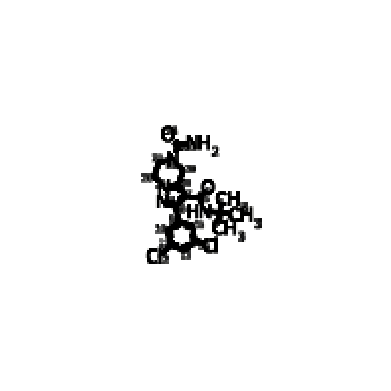 CC(C)(C)NC(=O)c1c(-c2cc(Cl)cc(Cl)c2)nn2c1CN(C(N)=O)CC2